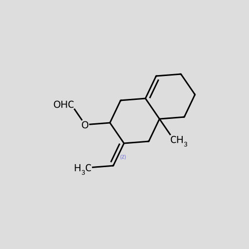 C/C=C1/CC2(C)CCCC=C2CC1OC=O